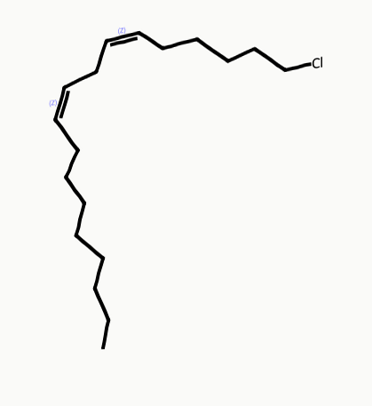 CCCCCCCC/C=C\C/C=C\CCCCCCl